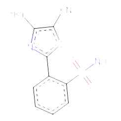 CC(C)(C)c1nc(-c2ccccc2S(N)(=O)=O)sc1C#N